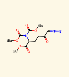 CC(C)(C)OC(=O)C(CCC(=O)C=[N+]=[N-])N(C(=O)OC(C)(C)C)C(=O)OC(C)(C)C